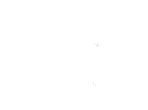 O=[N+]([O-])c1ccc2c(-c3ccccc3)c[nH]c2c1